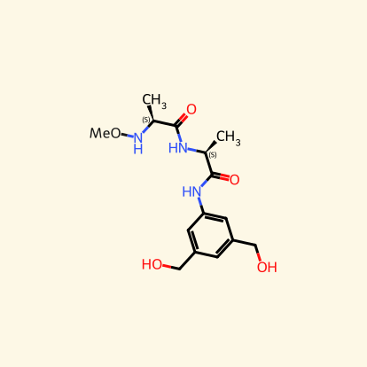 CON[C@@H](C)C(=O)N[C@@H](C)C(=O)Nc1cc(CO)cc(CO)c1